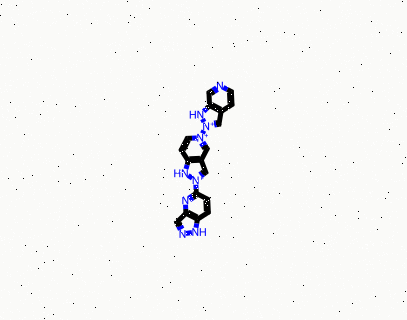 c1cc2c[n+](-[n+]3ccc4[nH][n+](-c5ccc6[nH]ncc6n5)cc4c3)[nH]c2cn1